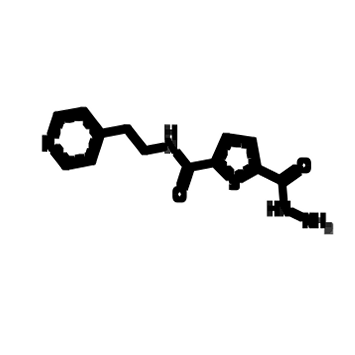 NNC(=O)c1ccc(C(=O)NCCc2ccncc2)s1